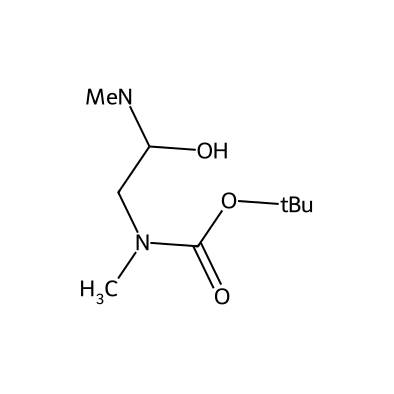 CNC(O)CN(C)C(=O)OC(C)(C)C